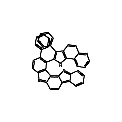 c1ccc(-c2ccc3c(c2-c2[nH]c4c(ccc5ncccc54)c2-c2ccccc2)-c2c4c(ccc2=N3)=c2ccccc2=N4)cc1